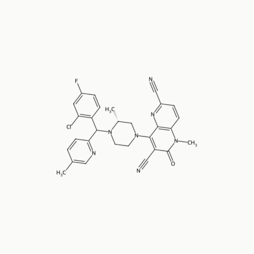 Cc1ccc(C(c2ccc(F)cc2Cl)N2CCN(c3c(C#N)c(=O)n(C)c4ccc(C#N)nc34)C[C@H]2C)nc1